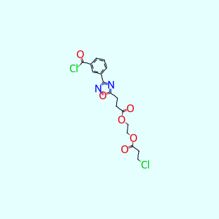 O=C(CCCl)OCCOC(=O)CCc1nc(-c2cccc(C(=O)Cl)c2)no1